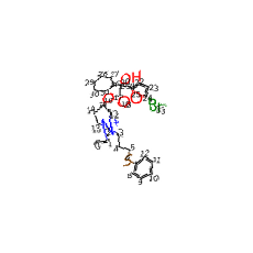 CC[N+]1(CCCSc2ccccc2)CCC(OC(=O)C(O)(c2ccco2)C2CCCCC2)C1.[Br-]